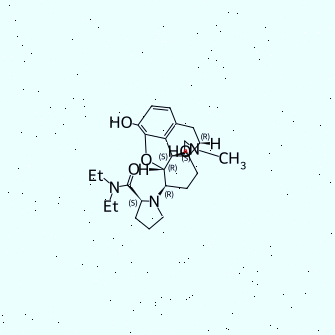 CCN(CC)C(=O)[C@@H]1CCCN1[C@@H]1CC[C@@]2(O)[C@H]3Cc4ccc(O)c5c4[C@@]2(CCN3C)[C@H]1O5